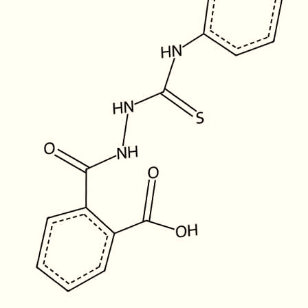 O=C(O)c1ccccc1C(=O)NNC(=S)Nc1ccccc1